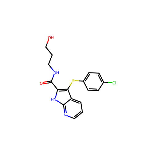 O=C(NCCCO)c1[nH]c2ncccc2c1Sc1ccc(Cl)cc1